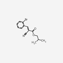 CC(C)COC(=O)/C(C#N)=C/c1ccccc1Br